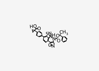 CC(OC(=O)Nc1cnoc1-c1ccc(-c2ccc(C3(C(=O)O)CC3)cc2)c2snnc12)c1ccccc1